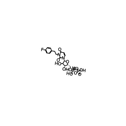 O=c1ccn([C@@H]2O[C@H](COP(=O)(O)OP(=O)(O)O)[C@H](O)C2O)c(=O)n1CCc1ccc(F)cc1